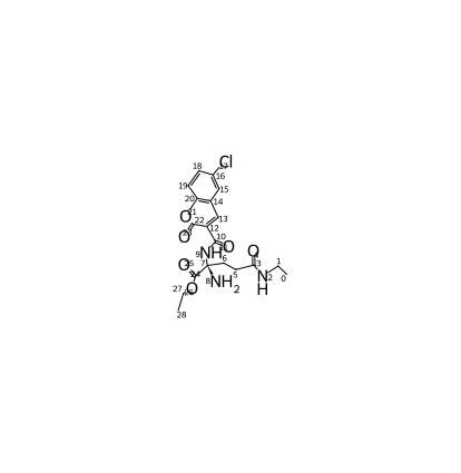 CCNC(=O)CC[C@@](N)(NC(=O)c1cc2cc(Cl)ccc2oc1=O)C(=O)OCC